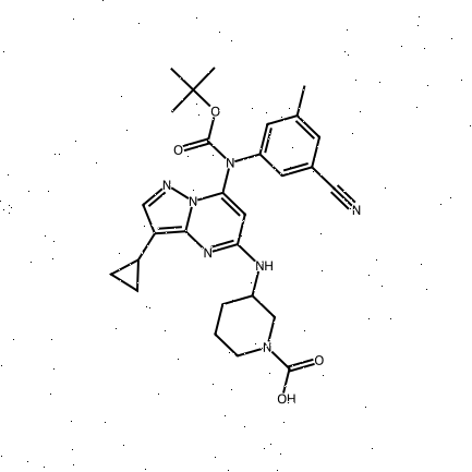 Cc1cc(C#N)cc(N(C(=O)OC(C)(C)C)c2cc(NC3CCCN(C(=O)O)C3)nc3c(C4CC4)cnn23)c1